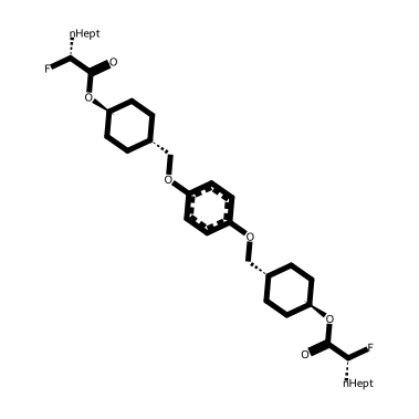 CCCCCCC[C@@H](F)C(=O)O[C@H]1CC[C@H](COc2ccc(OC[C@H]3CC[C@H](OC(=O)[C@H](F)CCCCCCC)CC3)cc2)CC1